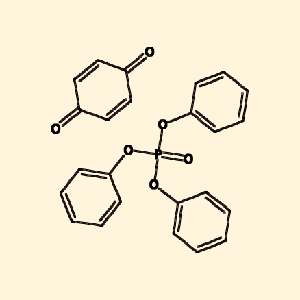 O=C1C=CC(=O)C=C1.O=P(Oc1ccccc1)(Oc1ccccc1)Oc1ccccc1